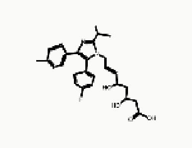 Cc1ccc(-c2nc(C(C)C)n(C/C=C/C(O)CC(O)CC(=O)O)c2-c2ccc(F)cc2)cc1